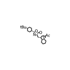 CC(=O)n1cc(C=C2N=C(c3ccc(C(C)(C)C)cc3)OC2=O)c2ccccc21